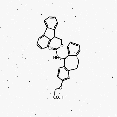 O=C(O)COc1ccc2c(c1)CCc1ccccc1C2NC(=O)OCC1c2ccccc2-c2ccccc21